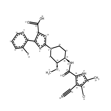 CO[C@H]1CN(c2nc(-c3ncccc3F)c(C(=O)O)s2)CC[C@H]1NC(=O)c1[nH]c(C)c(Cl)c1C#N